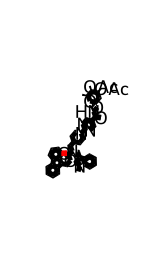 CC(=O)O[C@@H]1[C@H](C)O[C@@H](ONC(=O)c2cnc(N3CCC(CN(Cc4cn(C)c5ccccc45)C(=O)OCC4c5ccccc5-c5ccccc54)CC3)nc2)C[C@@H]1OC(C)=O